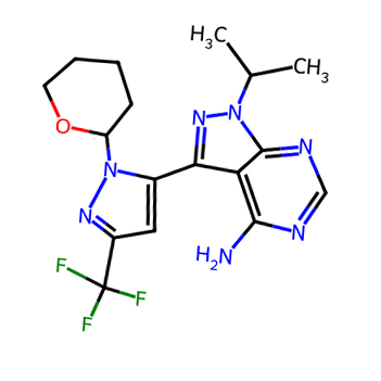 CC(C)n1nc(-c2cc(C(F)(F)F)nn2C2CCCCO2)c2c(N)ncnc21